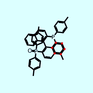 Cc1ccc(P(c2ccc(C)cc2)c2ccc3ccccc3c2-c2c(P(=O)(c3ccc(C)cc3)c3ccc(C)cc3)ccc3ccccc23)cc1